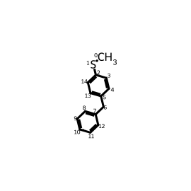 CSc1ccc(Cc2cc[c]cc2)cc1